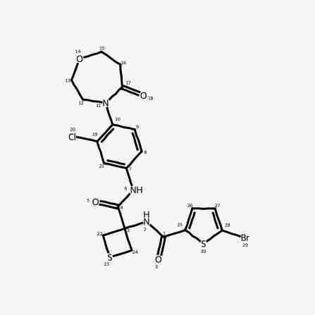 O=C(NC1(C(=O)Nc2ccc(N3CCOCCC3=O)c(Cl)c2)CSC1)c1ccc(Br)s1